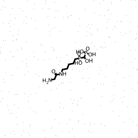 NCC(=O)NCCCCCP(=O)(O)C(O)P(=O)(O)O